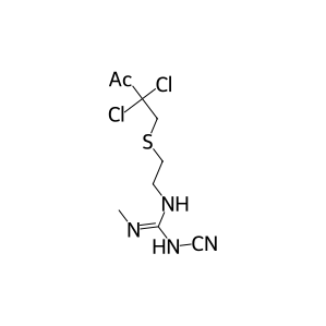 CN=C(NC#N)NCCSCC(Cl)(Cl)C(C)=O